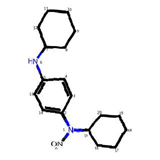 O=NN(c1ccc(NC2CCCCC2)cc1)C1CCCCC1